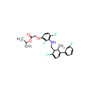 CC(=O)OC(C)OC(=O)COc1ccc(F)c(NCC2C(F)=CC=C(c3cccc(F)c3)C2C)c1F